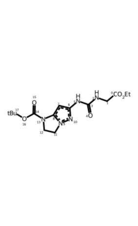 CCOC(=O)CNC(=O)Nc1cc2n(n1)CCN2C(=O)OC(C)(C)C